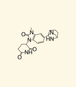 Cn1c(=O)n(C2CCC(=O)NC2=O)c2ccc(N3CC4CCC3CN4)cc21